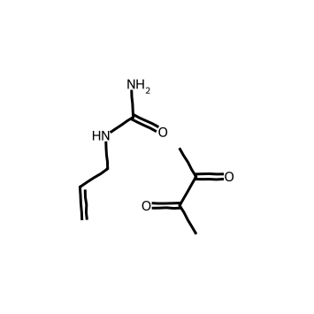 C=CCNC(N)=O.CC(=O)C(C)=O